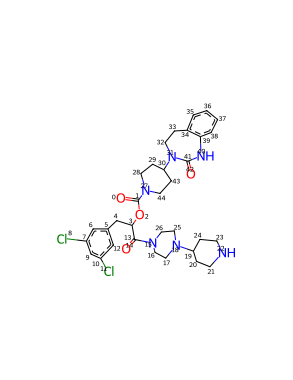 O=C(OC(Cc1cc(Cl)cc(Cl)c1)C(=O)N1CCN(C2CCNCC2)CC1)N1CCC(N2CCc3ccccc3NC2=O)CC1